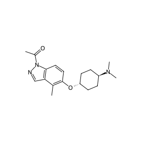 CC(=O)n1ncc2c(C)c(O[C@H]3CC[C@H](N(C)C)CC3)ccc21